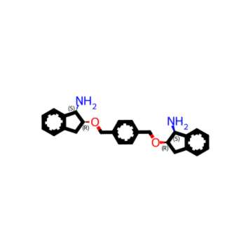 N[C@H]1c2ccccc2C[C@H]1OCc1ccc(CO[C@@H]2Cc3ccccc3[C@@H]2N)cc1